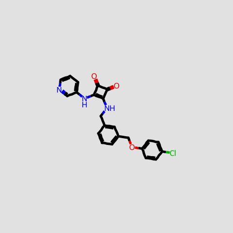 O=c1c(NCc2cccc(COc3ccc(Cl)cc3)c2)c(Nc2cccnc2)c1=O